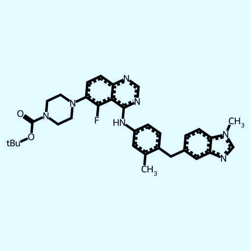 Cc1cc(Nc2ncnc3ccc(N4CCN(C(=O)OC(C)(C)C)CC4)c(F)c23)ccc1Cc1ccc2c(c1)ncn2C